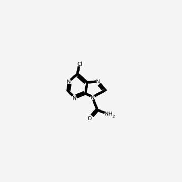 NC(=O)n1cnc2c(Cl)ncnc21